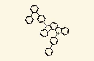 c1ccc(-c2ccc(-n3c4ccccc4c4ccc5c(c6ccccc6n5-c5ccc(-c6ccccc6-c6ccccc6)cc5)c43)cc2)cc1